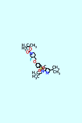 Cc1cc(C(C)C)cnc1N(CC(C)C)S(=O)(=O)c1ccc(OCC2CCN(C(=O)OC(C)(C)C)CC2F)cc1